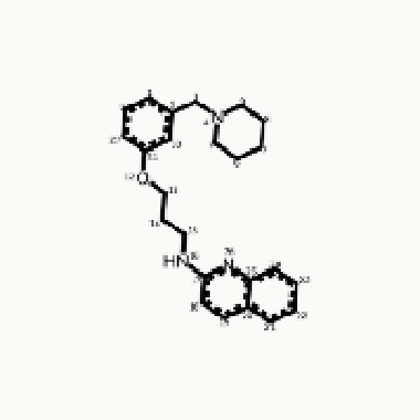 c1cc(CN2CCCCC2)cc(OCCCNc2ccc3ccccc3n2)c1